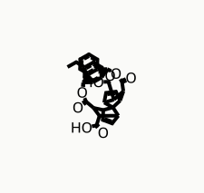 CCc1ccc2c3c4ccccc4c(c2c1)OC(=O)C1C(C(=O)O)C2C=CC1C21C2C=CC1C(C(=O)O3)C2C(=O)O